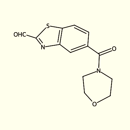 O=Cc1nc2cc(C(=O)N3CCOCC3)ccc2s1